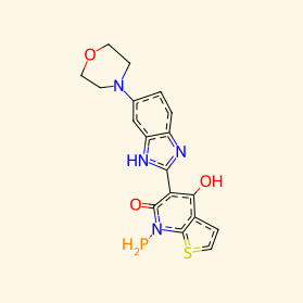 O=c1c(-c2nc3ccc(N4CCOCC4)cc3[nH]2)c(O)c2ccsc2n1P